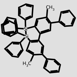 Cc1cc2c(cc1-c1ccccc1)-c1cc(-c3ccccc3)c(C)cc1[Si](c1ccccc1)(c1ccccc1)[Si]2(c1ccccc1)c1ccccc1